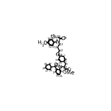 COC(=O)C(Cc1ccc(OCCCN(C(=O)C(C)(C)C)c2ccc(C)cc2)cc1)Nc1ccccc1C(=O)c1ccccc1